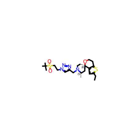 CCc1cc2c(s1)CCO[C@@]21CCN(Cc2cn(CCS(=O)(=O)C(C)(C)C)nn2)[C@@H](C)C1